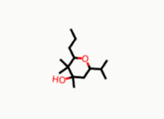 CCCC1OC(C(C)C)CC(C)(O)C1(C)C